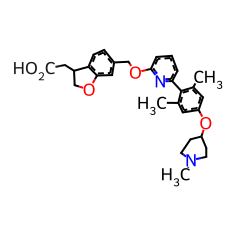 Cc1cc(OC2CCN(C)CC2)cc(C)c1-c1cccc(OCc2ccc3c(c2)OCC3CC(=O)O)n1